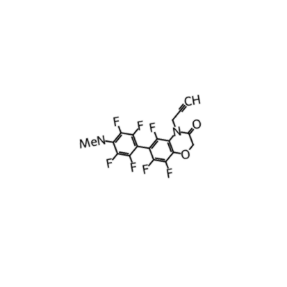 C#CCN1C(=O)COc2c(F)c(F)c(-c3c(F)c(F)c(NC)c(F)c3F)c(F)c21